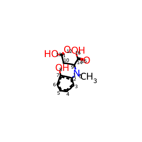 CN(c1ccccc1O)C(CC(=O)O)C(=O)O